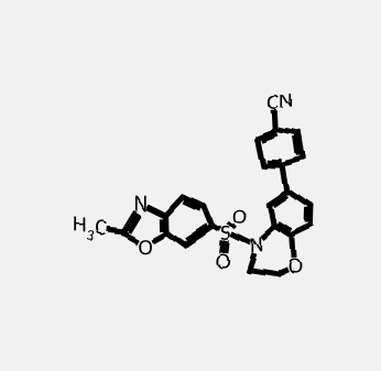 Cc1nc2ccc(S(=O)(=O)N3CCOc4ccc(-c5ccc(C#N)cc5)cc43)cc2o1